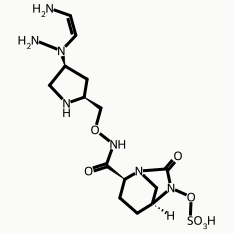 N/C=C\N(N)[C@@H]1CN[C@H](CONC(=O)[C@@H]2CC[C@H]3CN2C(=O)N3OS(=O)(=O)O)C1